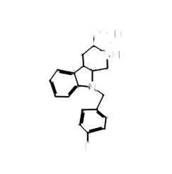 O=C(O)[C@@H]1CC2c3ccccc3N(Cc3ccc(F)cc3)C2CN1